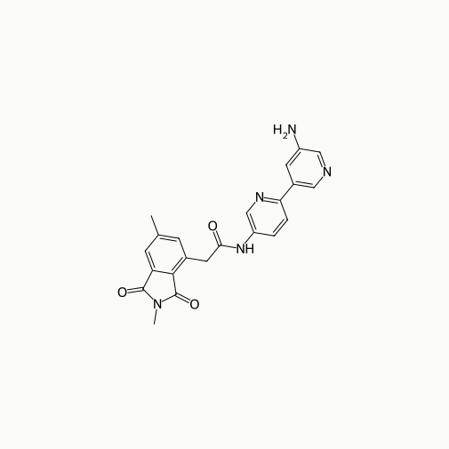 Cc1cc(CC(=O)Nc2ccc(-c3cncc(N)c3)nc2)c2c(c1)C(=O)N(C)C2=O